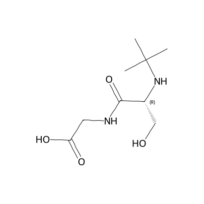 CC(C)(C)N[C@H](CO)C(=O)NCC(=O)O